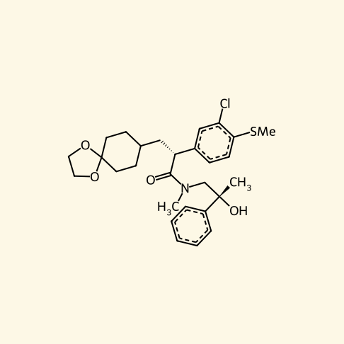 CSc1ccc([C@@H](CC2CCC3(CC2)OCCO3)C(=O)N(C)C[C@](C)(O)c2ccccc2)cc1Cl